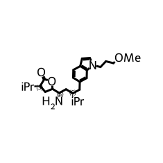 COCCCn1ccc2ccc(C[C@@H](C[C@H](N)C3C[C@@H](C(C)C)C(=O)O3)C(C)C)cc21